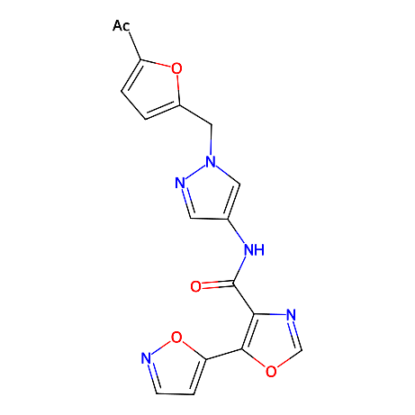 CC(=O)c1ccc(Cn2cc(NC(=O)c3ncoc3-c3ccno3)cn2)o1